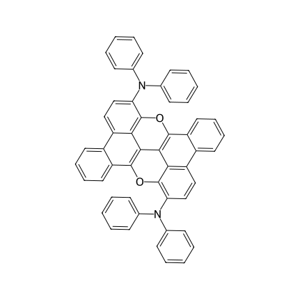 c1ccc(N(c2ccccc2)c2ccc3c4ccccc4c4oc5c(N(c6ccccc6)c6ccccc6)ccc6c7ccccc7c7oc2c3c4-c7c56)cc1